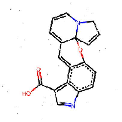 O=C(O)C1=c2c(ccc3c2=CC2=CC=CN4CC=CC24O3)N=C1